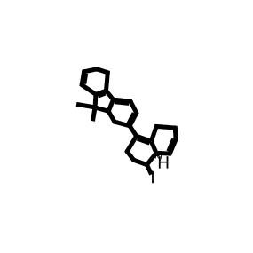 CC1(C)C2=C(CCC=C2)C2=CC=C(C3=C4CCC=C[C@H]4C(I)CC3)CC21